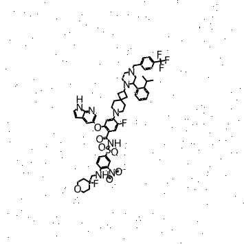 CC(C)c1ccccc1C1CN(Cc2ccc(C(F)(F)F)cc2)CCN1C1CC2(CCN(c3cc(Oc4cnc5[nH]ccc5c4)c(C(=O)NS(=O)(=O)c4ccc(NCC5(F)CCOCC5)c([N+](=O)[O-])c4)cc3F)CC2)C1